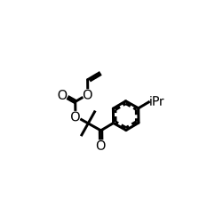 C=COC(=O)OC(C)(C)C(=O)c1ccc(C(C)C)cc1